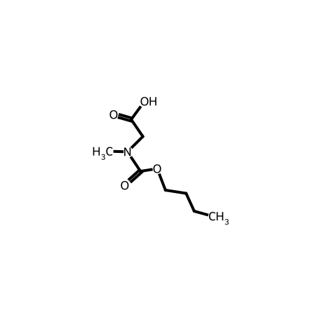 CCCCOC(=O)N(C)CC(=O)O